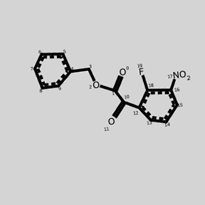 O=C(OCc1ccccc1)C(=O)c1cccc([N+](=O)[O-])c1F